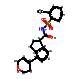 Cc1ccccc1S(=O)(=O)NC(=O)C1CCc2c(C3=CCOCC3)cccc21